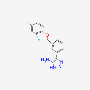 Nc1[nH]nnc1-c1cccc(COc2ccc(F)cc2F)c1